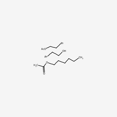 CC(=O)OCCC(C)C.CC(C)CCO.CCCCCCOC(C)=O